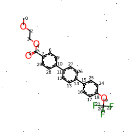 COCCOC(=O)c1ccc(-c2ccc(-c3ccc(OC(F)(F)F)cc3)cc2)cc1